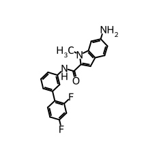 Cn1c(C(=O)Nc2cccc(-c3ccc(F)cc3F)c2)cc2ccc(N)cc21